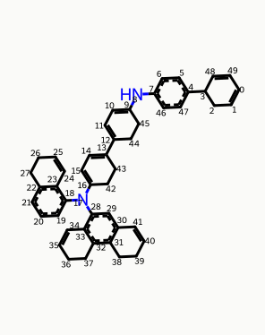 C1=CCC(c2ccc(NC3=CC=C(C4=CC=C(N(c5cccc6c5C=CCC6)c5cc6c(c7c5C=CCC7)CCC=C6)CC4)CC3)cc2)C=C1